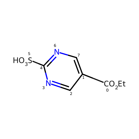 CCOC(=O)c1cnc(S(=O)(=O)O)nc1